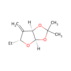 C=C1[C@H]2OC(C)(C)O[C@H]2O[C@@H]1CC